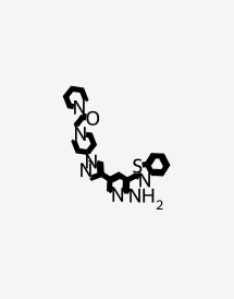 Nc1ncc(-c2cnn(C3CCN(CC(=O)N4CCCCC4)CC3)c2)cc1-c1nc2ccccc2s1